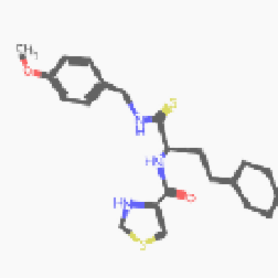 COc1ccc(CNC(=S)[C@@H](CCC2CCCCC2)NC(=O)[C@H]2CSCN2)cc1